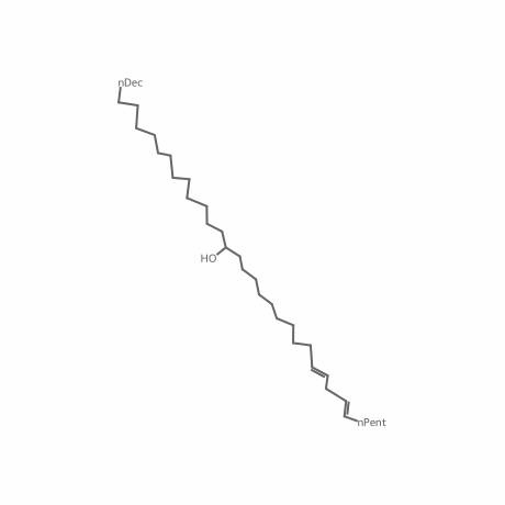 CCCCCC=CCC=CCCCCCCCCCC(O)CCCCCCCCCCCCCCCCCCCCCC